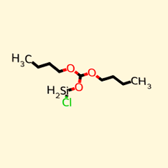 CCCCOC(OCCCC)O[SiH2]Cl